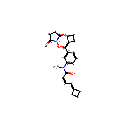 CN(C(=O)/C=C\C=C1CCC1)c1cccc(C(ON2C(=O)CCC2=O)=C2CCC2)c1